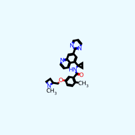 Cc1ccc(OCC2CCN2C)cc1C(=O)NC1(c2cc(-c3ncccn3)cc3ncccc23)CC1